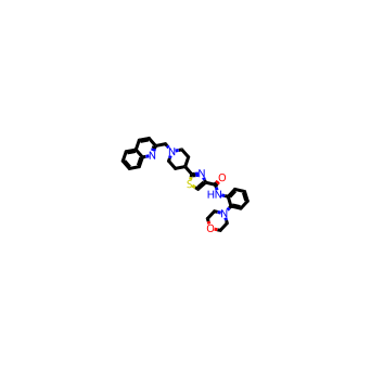 O=C(Nc1ccccc1N1CCOCC1)c1csc(C2CCN(Cc3ccc4ccccc4n3)CC2)n1